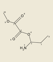 CCC(N)OC(=O)C(=O)OC